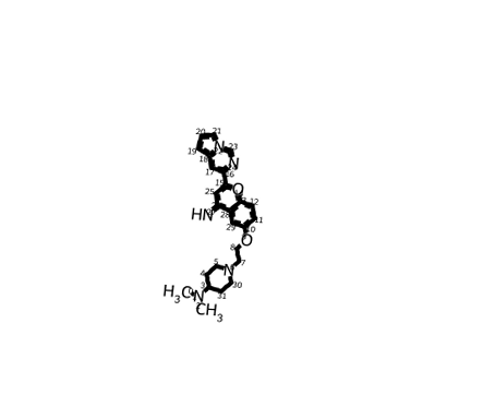 CN(C)C1CCN(CCOc2ccc3oc(-c4cc5cccn5cn4)cc(=N)c3c2)CC1